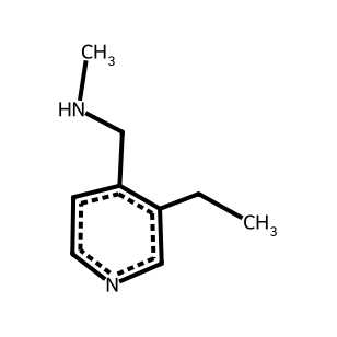 CCc1cnccc1CNC